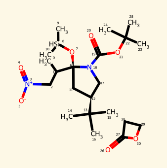 CC(C[N+](=O)[O-])[C@@]1(O[SiH](C)C)C[C@H](C(C)(C)C)CN1C(=O)OC(C)(C)C.O=C1CCO1